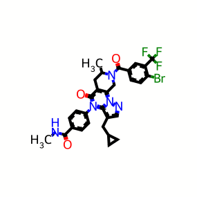 CNC(=O)c1ccc(-n2c(=O)c3c(n4ncc(CC5CC5)c24)CN(C(=O)c2ccc(Br)c(C(F)(F)F)c2)C(C)C3)cc1